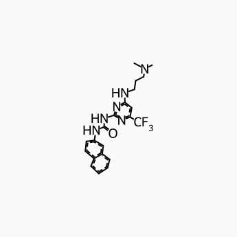 CN(C)CCCNc1cc(C(F)(F)F)nc(NC(=O)Nc2ccc3ccccc3c2)n1